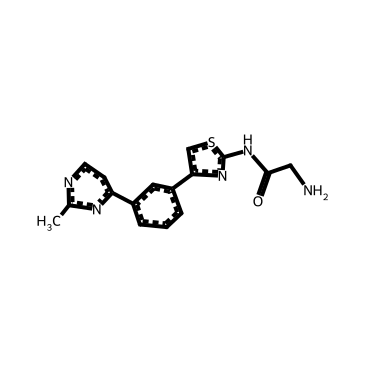 Cc1nccc(-c2cccc(-c3csc(NC(=O)CN)n3)c2)n1